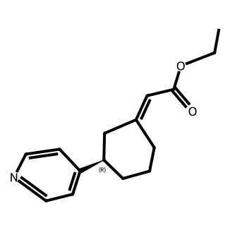 CCOC(=O)C=C1CCC[C@@H](c2ccncc2)C1